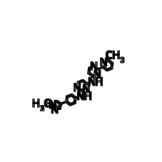 Cc1cccc(-c2nccc(Nc3ccnc(Nc4ccc(-c5cnn(C)c5)cc4)n3)n2)n1